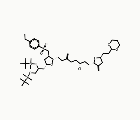 C=C(CC[C@@H](Cl)CC[C@@H]1O[C@@H](CCC2OCCCO2)CC1=C)CC[C@@H]1O[C@H](CC(CO[Si](C)(C)C(C)(C)C)O[Si](C)(C)C(C)(C)C)C[C@H]1CS(=O)(=O)c1ccc(CC)cc1